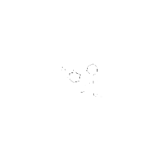 CCCC(C(=O)OC)c1c(C)nc(N2CCCCCC2)nc1-c1ccc(C)cc1